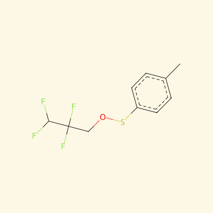 Cc1ccc(SOCC(F)(F)C(F)F)cc1